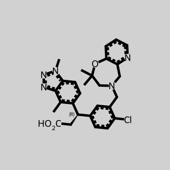 Cc1c([C@H](CC(=O)O)c2ccc(Cl)c(CN3Cc4ncccc4OC(C)(C)C3)c2)ccc2c1nnn2C